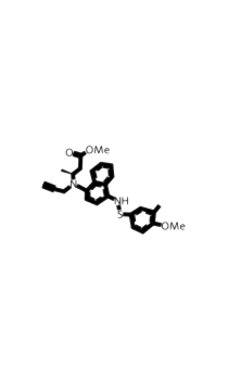 C#CCN(c1ccc(NSc2ccc(OC)c(C)c2)c2ccccc12)[C@@H](C)CC(=O)OC